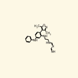 Cc1noc(C)c1-c1ccc(Nc2ccccc2)cc1NCCN/C=N\C=N